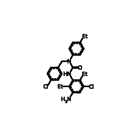 CCc1ccc(N(Cc2ccc(Cl)cc2)C(=O)Nc2c(CC)c(N)cc(Cl)c2CC)cc1